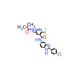 CC(C)C(=O)NCc1cnc(C(F)F)c(C(=O)Nc2ccc3[nH]c(-c4ccc(Cl)cc4)nc3c2)c1